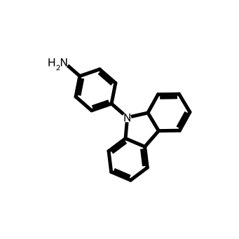 Nc1ccc(N2c3ccccc3C3C=CC=CC32)cc1